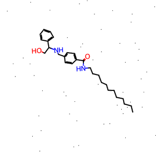 CCCCCCCCCCCCNC(=O)c1ccc(CNC(CO)c2ccccc2)cc1